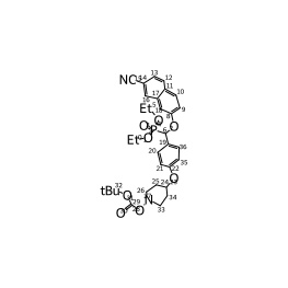 CCOP(=O)(OCC)C(Oc1ccc2ccc(C#N)cc2c1)c1ccc(OC2CCN(OC(=O)OC(C)(C)C)CC2)cc1